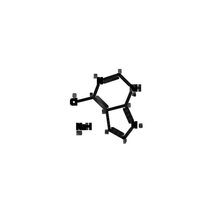 Clc1nc[nH]c2nccc1-2.[NaH]